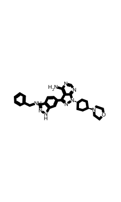 Nc1ncnc2c1c(-c1ccc3c(NCc4ccccc4)n[nH]c3c1)nn2[C@H]1CC[C@H](N2CCOCC2)CC1